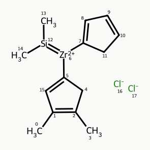 CC1=C(C)C[C]([Zr+2]([C]2=CC=CC2)=[Si](C)C)=C1.[Cl-].[Cl-]